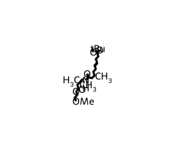 COCCOC(=O)CC(C)(C)CNC(=O)CC(C)CCC=CCCC(=O)OC(C)(C)C